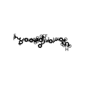 C=C(CCC(F)F)C1=C(CN2CCN(c3ccc(C(=O)NS(=O)(=O)c4ccc(N[C@H](CCN5CCN(CCCNc6ccc7c(c6)C(=O)N(C6CCC(=O)NC6=O)C7=O)CC5)CSc5ccccc5)c(S(=O)(=O)C(F)(F)F)c4)cc3)CC2)CCC(C)(C)C1